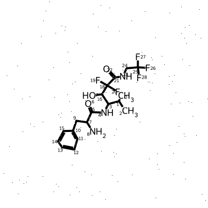 CC(C)C(NC(=O)C(N)Cc1ccccc1)C(O)C(F)(F)C(=O)NCC(F)(F)F